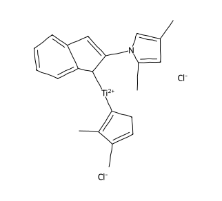 CC1=CC[C]([Ti+2][CH]2C(n3cc(C)cc3C)=Cc3ccccc32)=C1C.[Cl-].[Cl-]